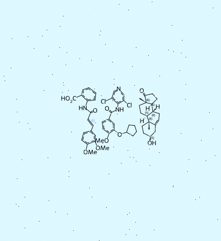 COc1ccc(/C=C/C(=O)Nc2ccccc2C(=O)O)cc1OC.COc1ccc(C(=O)Nc2c(Cl)cncc2Cl)cc1OC1CCCC1.C[C@]12CC[C@H](O)CC1=CC[C@@H]1[C@@H]2CC[C@]2(C)C(=O)CC[C@@H]12